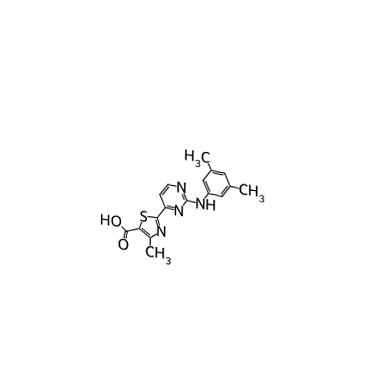 Cc1cc(C)cc(Nc2nccc(-c3nc(C)c(C(=O)O)s3)n2)c1